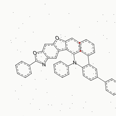 c1ccc(-c2ccc(N(c3ccccc3)c3cccc4oc5cc6oc(-c7ccccc7)nc6cc5c34)c(-c3ccccc3)c2)cc1